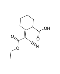 CCOC(=O)C(C#N)=C1CCCCC1C(=O)O